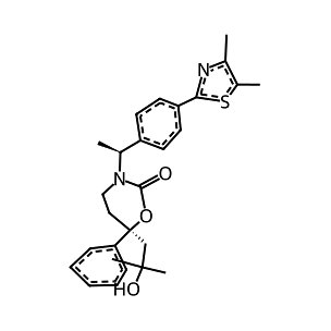 Cc1nc(-c2ccc([C@H](C)N3CC[C@](CC(C)(C)O)(c4ccccc4)OC3=O)cc2)sc1C